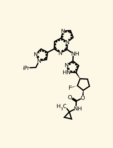 CC(C)Cn1cc(-c2cc3nccn3c(Nc3cc([C@H]4CC[C@@H](OC(=O)NC5(C)CC5)[C@@H]4F)[nH]n3)n2)cn1